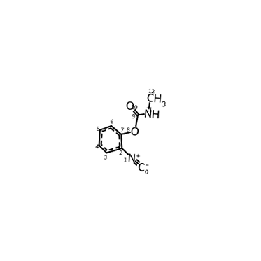 [C-]#[N+]c1ccccc1OC(=O)NC